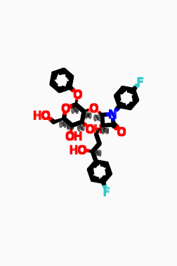 O=C1[C@H](CC[C@H](O)c2ccc(F)cc2)[C@H](O[C@H]2[C@@H](Oc3ccccc3)O[C@H](CO)[C@@H](O)[C@@H]2O)N1c1ccc(F)cc1